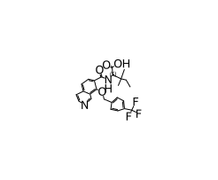 CCC(C)(C)[C@H](NC(=O)c1ccc2ccncc2c1OCc1ccc(C(F)(F)F)cc1)C(=O)O